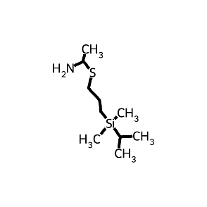 CC(N)SCCC[Si](C)(C)C(C)C